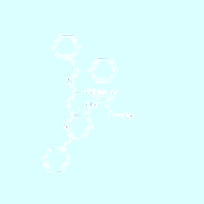 CCOC(=O)C(Cc1nc(-c2ccccc2)ccc1NC(=O)OC(C)(C)C)N=C(c1ccccc1)c1ccccc1